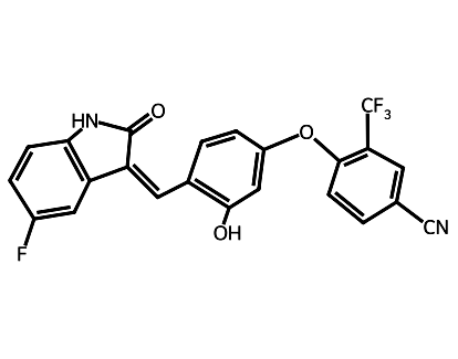 N#Cc1ccc(Oc2ccc(C=C3C(=O)Nc4ccc(F)cc43)c(O)c2)c(C(F)(F)F)c1